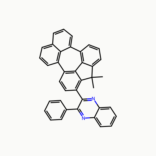 CC1(C)c2cccc3c2-c2c(ccc(-c4nc5ccccc5nc4-c4ccccc4)c21)-c1cccc2cccc-3c12